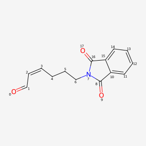 O=C/C=C\CCCN1C(=O)c2ccccc2C1=O